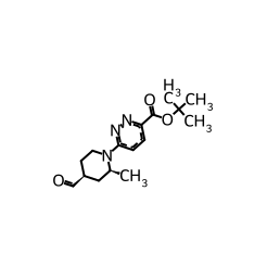 C[C@H]1C[C@@H](C=O)CCN1c1ccc(C(=O)OC(C)(C)C)nn1